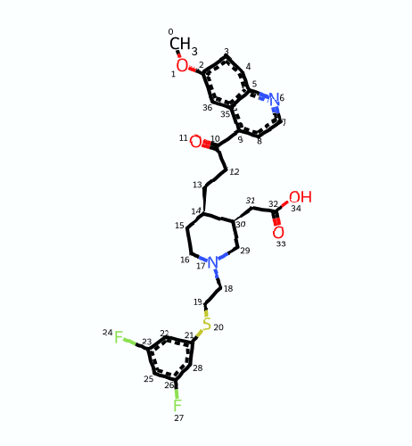 COc1ccc2nccc(C(=O)CC[C@@H]3CCN(CCSc4cc(F)cc(F)c4)C[C@@H]3CC(=O)O)c2c1